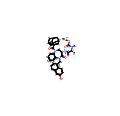 COc1ccc2cc(Br)ccc2c1CN1C(=O)[C@@H](NC(=O)[C@H](C)N(C)C(=O)OC(C)(C)C)CN(C(=O)C23CC4CC(CC(C4)C2)C3)c2ccccc21